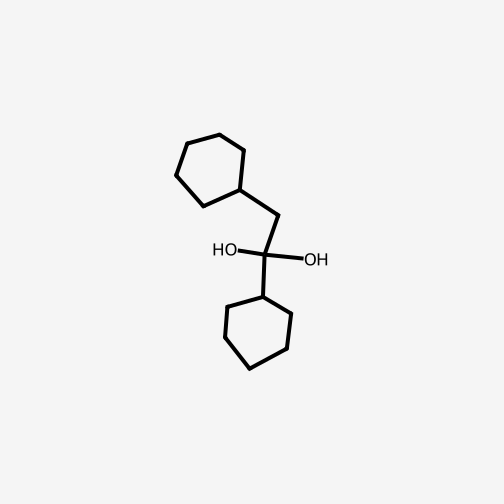 OC(O)(CC1CCCCC1)C1CCCCC1